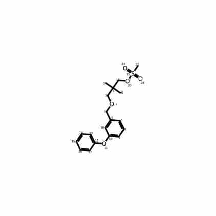 CC(C)(COCc1cccc(Oc2ccccc2)c1)COS(C)(=O)=O